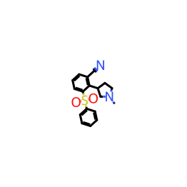 CN1CCC(c2c(C#N)cccc2S(=O)(=O)c2ccccc2)C1